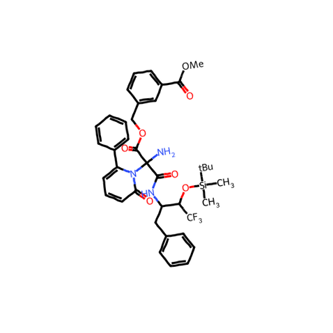 COC(=O)c1cccc(COC(=O)C(N)(C(=O)NC(Cc2ccccc2)C(O[Si](C)(C)C(C)(C)C)C(F)(F)F)n2c(-c3ccccc3)cccc2=O)c1